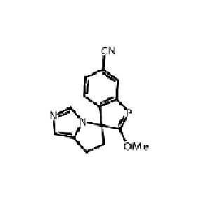 COC1=Pc2cc(C#N)ccc2C12CCc1cncn12